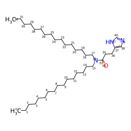 CCCCCCCCCCCCCCCCN(CCCCCCCCCCCCCCCC)C(=O)CCc1cnc[nH]1